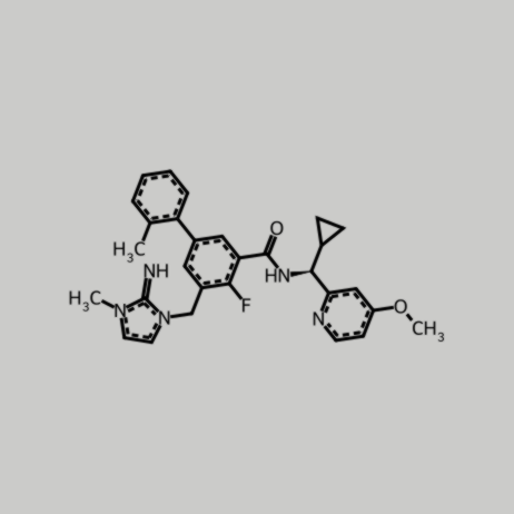 COc1ccnc([C@@H](NC(=O)c2cc(-c3ccccc3C)cc(Cn3ccn(C)c3=N)c2F)C2CC2)c1